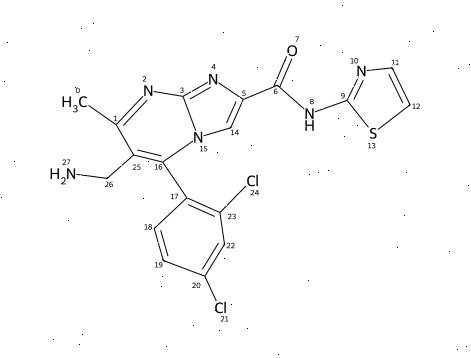 Cc1nc2nc(C(=O)Nc3nccs3)cn2c(-c2ccc(Cl)cc2Cl)c1CN